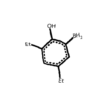 Bc1cc(CC)cc(CC)c1O